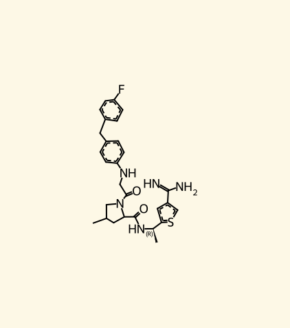 CC1CC(C(=O)N[C@H](C)c2cc(C(=N)N)cs2)N(C(=O)CNc2ccc(Cc3ccc(F)cc3)cc2)C1